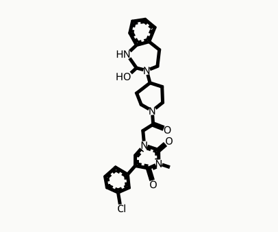 Cn1c(=O)c(-c2cccc(Cl)c2)cn(CC(=O)N2CCC(N3CCc4ccccc4NC3O)CC2)c1=O